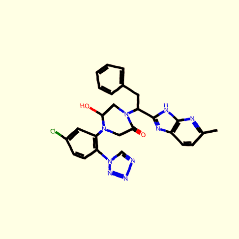 Cc1ccc2nc(C(Cc3ccccc3)N3CC(O)N(c4cc(Cl)ccc4-n4cnnn4)CC3=O)[nH]c2n1